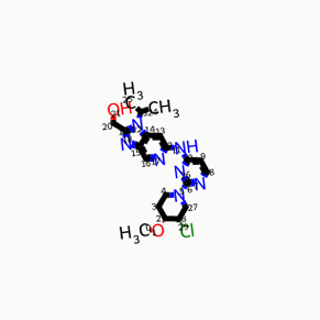 CO[C@@H]1CCN(c2nccc(Nc3cc4c(cn3)nc(CO)n4C(C)C)n2)C[C@@H]1Cl